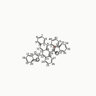 c1ccc(-c2c3ccccc3cc3c(-c4cc5ccccc5o4)c4ccccc4c(-c4cc5ccccc5o4)c23)cc1